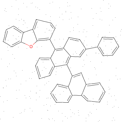 c1ccc(-c2ccc3c(-c4cccc5c4oc4ccccc45)c4ccccc4c(-c4cc5ccccc5c5ccccc45)c3c2)cc1